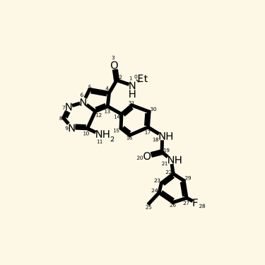 CCNC(=O)c1cn2ncnc(N)c2c1-c1ccc(NC(=O)Nc2cc(C)cc(F)c2)cc1